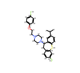 CC(C)c1ccc2c(c1)C(N1CCN(CCOc3ccc(F)cc3)CC1)Cc1ccc(F)cc1S2